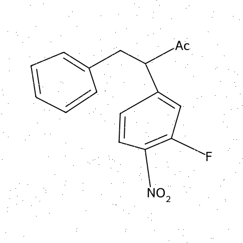 CC(=O)C(Cc1ccccc1)c1ccc([N+](=O)[O-])c(F)c1